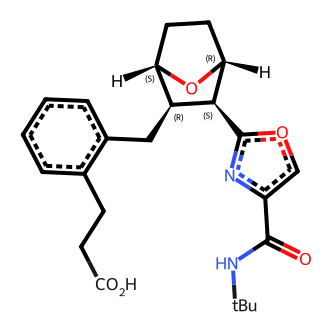 CC(C)(C)NC(=O)c1coc([C@H]2[C@@H](Cc3ccccc3CCC(=O)O)[C@@H]3CC[C@H]2O3)n1